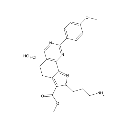 COC(=O)c1c2c(nn1CCCN)-c1nc(-c3ccc(OC)cc3)ncc1CC2.Cl.Cl